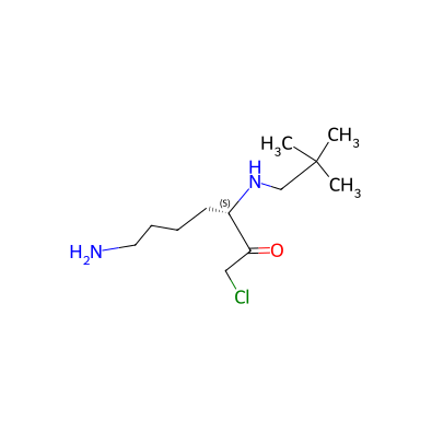 CC(C)(C)CN[C@@H](CCCCN)C(=O)CCl